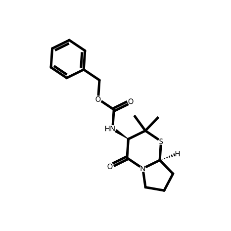 CC1(C)S[C@H]2CCCN2C(=O)[C@H]1NC(=O)OCc1ccccc1